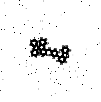 c1ccc2c(c1)-c1ccccc1C21c2ccccc2-c2c(Cc3ccc(-c4cccc5oc6ccccc6c45)cc3)cccc21